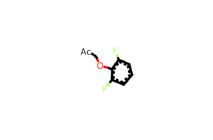 CC(=O)COc1c(F)cccc1F